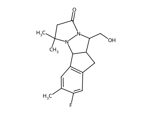 Cc1cc2c(cc1F)CC1C(CO)N3C(=O)CC(C)(C)N3C21